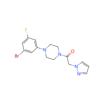 O=C(Cn1cccn1)N1CCN(c2cc(F)cc(Br)c2)CC1